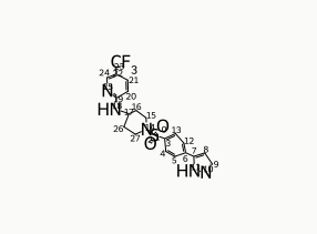 O=S(=O)(c1ccc(-c2ccn[nH]2)cc1)N1CCC(Nc2ccc(C(F)(F)F)cn2)CC1